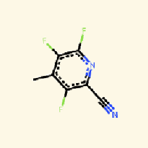 Cc1c(F)c(F)nc(C#N)c1F